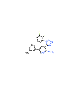 Nc1ncc(-c2cccc(N=O)c2)cc1-c1nnnn1-c1cccc(F)c1F